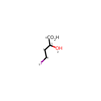 O=C(O)C(O)CCI